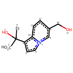 CCC(O)(C(=O)O)c1ccn2cc(CO)ccc12